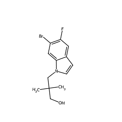 CC(C)(CO)Cn1ccc2cc(F)c(Br)cc21